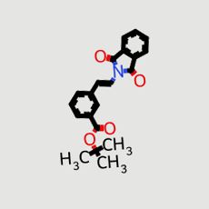 CC(C)(C)OC(=O)c1cccc(C=CN2C(=O)c3ccccc3C2=O)c1